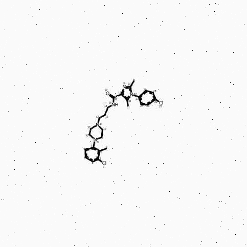 Cc1c(Cl)cccc1N1CCN(CCCNC(=O)c2nc(C)n(-c3ccc(Cl)cc3)c2C)CC1